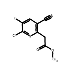 COC(=O)Cc1nc(Cl)c(F)cc1C#N